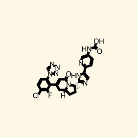 O=C(O)Nc1ccc(-c2cnc([C@@H]3CC[C@@H]4CC(c5c(-n6cnnn6)ccc(Cl)c5F)=CC(=O)N43)[nH]2)nc1